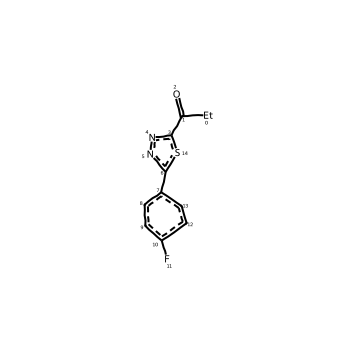 CCC(=O)c1nnc(-c2ccc(F)cc2)s1